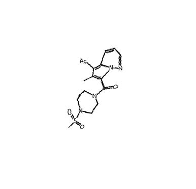 CC(=O)c1c(C)c(C(=O)N2CCN(S(C)(=O)=O)CC2)n2ncccc12